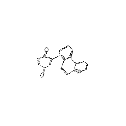 O=C1C=CC(=O)C(c2cccc3c2ccc2ccccc23)=C1